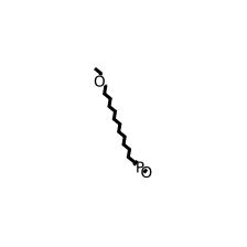 CCOCCCCCCCCCCCCC#P=O